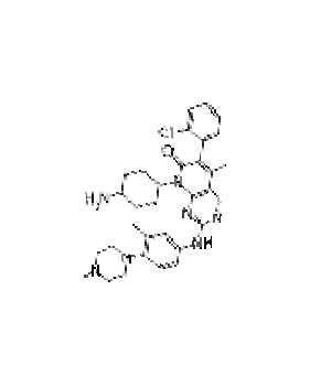 Cc1cc(Nc2ncc3c(C)c(-c4ccccc4Cl)c(=O)n(C4CCC(N)CC4)c3n2)ccc1N1CCN(C)CC1